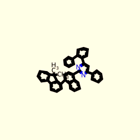 CC1(C)c2ccccc2-c2cccc(-c3ccc(-c4nc(-c5ccccc5)cc(-c5ccccc5-c5ccccc5)n4)c4ccccc34)c21